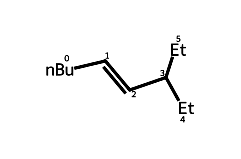 CCCCC=CC(CC)CC